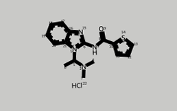 CC(N(C)C)n1c(NC(=O)c2cccs2)nc2ccccc21.Cl